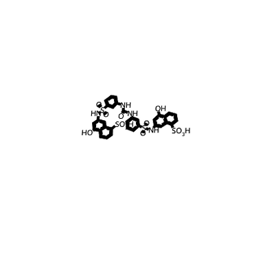 O=C(Nc1cccc(S(=O)(=O)Nc2cc(O)c3cccc(S(=O)(=O)O)c3c2)c1)Nc1cccc(S(=O)(=O)Nc2cc(O)c3cccc(S(=O)(=O)O)c3c2)c1